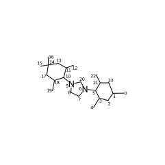 CC1CC(C)C(N2CCN(C3C(C)CC(C)(C)CC3C)C2)C(C)C1